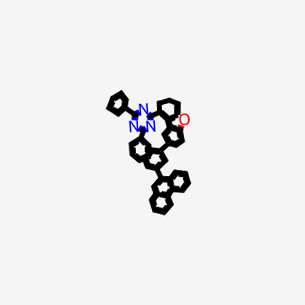 C1=c2oc3ccc(-c4cccc(-c5cc6ccccc6c6ccccc56)c4)cc3c2=C(c2nc(-c3ccccc3)nc(-c3ccccc3)n2)CC1